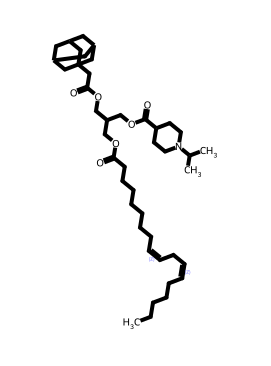 CCCCC/C=C\C/C=C\CCCCCCCC(=O)OCC(COC(=O)CC12CC3CC(CC(C3)C1)C2)COC(=O)C1CCN(C(C)C)CC1